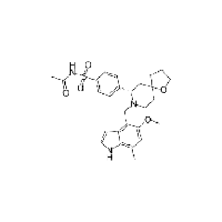 COc1cc(C)c2[nH]ccc2c1CN1CCC2(CCCO2)C[C@H]1c1ccc(S(=O)(=O)NC(C)=O)cc1